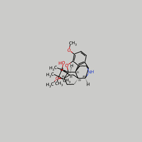 COc1ccc2c3c1O[C@H]1[C@@]4(OC)CC[C@@]5(C[C@@H]4C(C)(O)C(C)(C)C)[C@@H](C2)NCC[C@]315